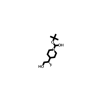 CC(C)(C)OC(O)N1CCC([C@H](F)CO)CC1